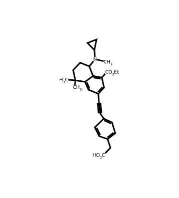 CCOC(=O)c1cc(C#Cc2ccc(CC(=O)O)cc2)cc2c1C(N(C)C1CC1)CCC2(C)C